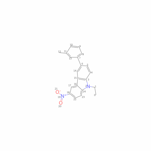 CCn1c2ccc(-c3cc[c]c(C)c3)cc2c2cc([N+](=O)[O-])ccc21